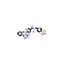 COCc1ccccc1CN1CCOc2cc(C(=O)NCc3ccc(S(C)(=O)=O)cn3)cnc21